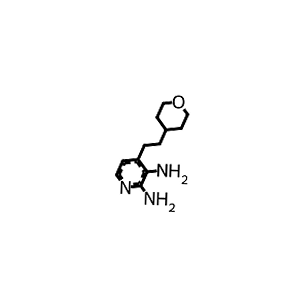 Nc1nccc(CCC2CCOCC2)c1N